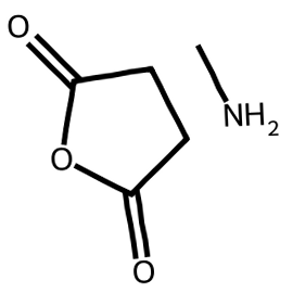 CN.O=C1CCC(=O)O1